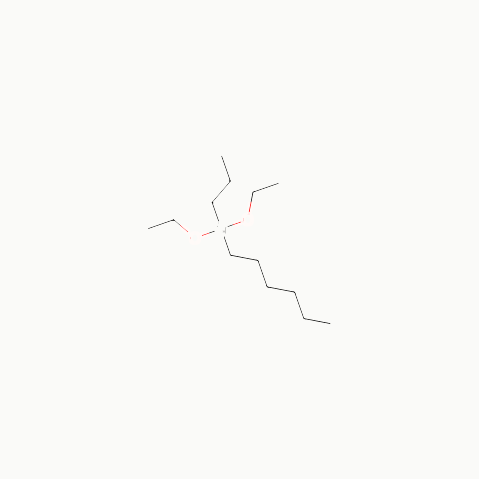 CCCCCC[Si](CCC)(OCC)OCC